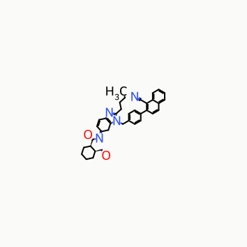 CCCCc1nc2c(n1Cc1ccc(-c3ccc4ccccc4c3C#N)cc1)CC(=NC(=O)[C@@H]1CCCC[C@@H]1C=O)C=C2